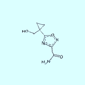 NC(=O)c1noc(C2(CO)CC2)n1